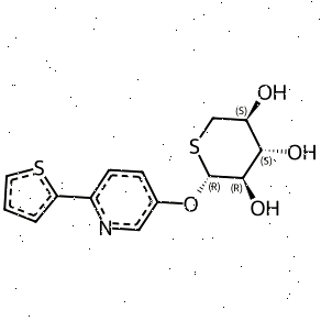 O[C@@H]1[C@@H](O)[C@H](Oc2ccc(-c3cccs3)nc2)SC[C@H]1O